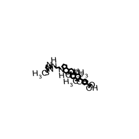 CSc1ccnc(NCCNC23CCCC2C2CCC4C5(C)CC=C(c6ccc(C(=O)O)cc6)C(C)(C)C5CCC4(C)[C@]2(C)CC3)n1